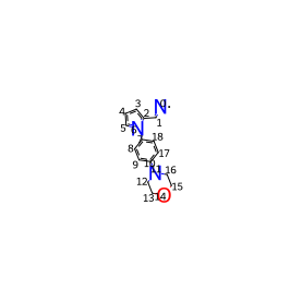 [N]=Cc1cccn1-c1ccc(N2CCOCC2)cc1